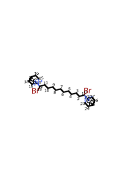 BrC(CCCCCCCCCCC(Br)[N+]12CCC(CC1)CC2)[N+]12CCC(CC1)CC2